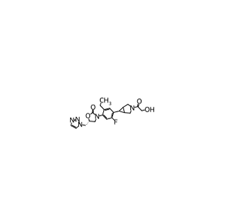 CCc1cc(C2C3CN(C(=O)CO)CC32)c(F)cc1N1C[C@H](Cn2ccnn2)OC1=O